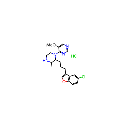 COc1cncnc1N1CCNC(C)C1CCCc1coc2ccc(Cl)cc12.Cl